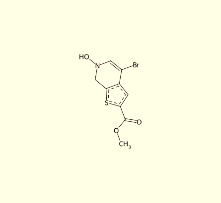 COC(=O)c1cc2c(s1)CN(O)C=C2Br